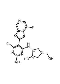 Nc1nc(Cl)c(-c2cc3c(F)cncc3o2)c(N[C@@H]2C[C@H](CO)C[C@H]2O)n1